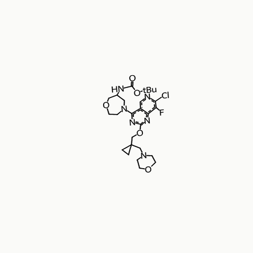 CC(C)(C)OC(=O)NC1COCCN(c2nc(OCC3(CN4CCOCC4)CC3)nc3c(F)c(Cl)ncc23)C1